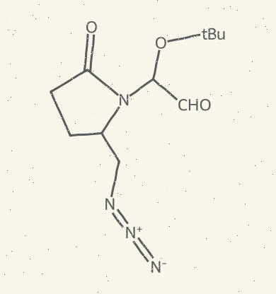 CC(C)(C)OC(C=O)N1C(=O)CCC1CN=[N+]=[N-]